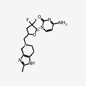 Cc1nc2c([nH]1)CCN(CC1CC(F)(F)[C@H](n3ccc(N)nc3=O)O1)C2